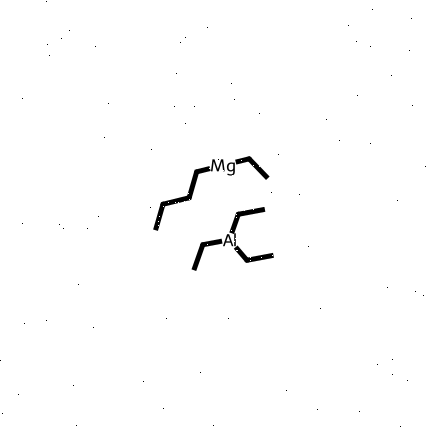 CCC[CH2][Mg][CH2]C.C[CH2][Al]([CH2]C)[CH2]C